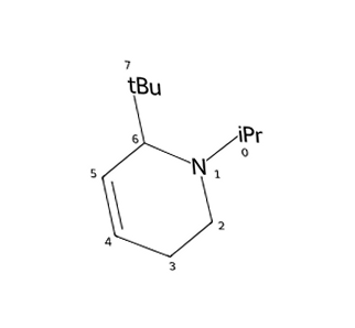 CC(C)N1CCC=CC1C(C)(C)C